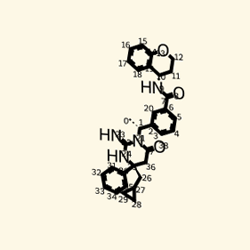 C[C@H](c1cccc(C(=O)N[C@H]2CCOc3ccccc32)c1)N1C(=N)N[C@@](CC2CC2)(c2ccccc2)CC1=O